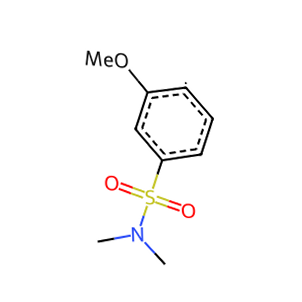 COc1[c]ccc(S(=O)(=O)N(C)C)c1